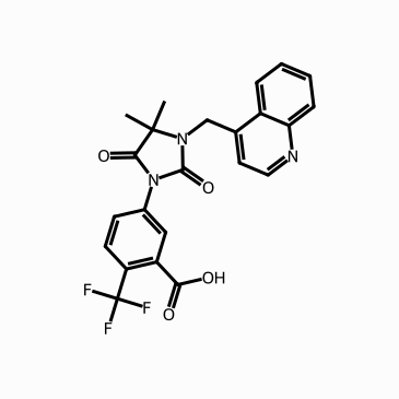 CC1(C)C(=O)N(c2ccc(C(F)(F)F)c(C(=O)O)c2)C(=O)N1Cc1ccnc2ccccc12